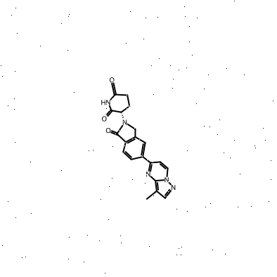 Cc1cnn2ccc(-c3ccc4c(c3)CN([C@H]3CCC(=O)NC3=O)C4=O)nc12